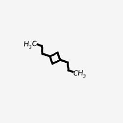 CCC[C]1CC(CCC)C1